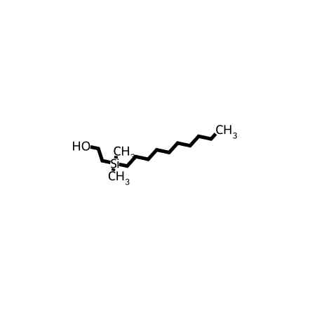 CCCCCCCCCC[Si](C)(C)CCO